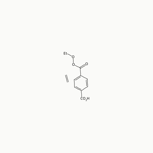 C=C.CCOOC(=O)c1ccc(C(=O)O)cc1